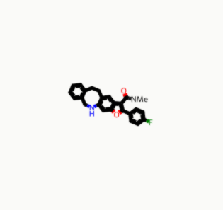 CNC(=O)c1c(-c2ccc(F)cc2)oc2cc3c(cc12)CCc1ccccc1CN3